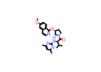 COc1ccc2c(O[C@@H]3CCN(C(=O)C(Nc4nc(C)cc(C)n4)C(C)C)C3)nccc2c1